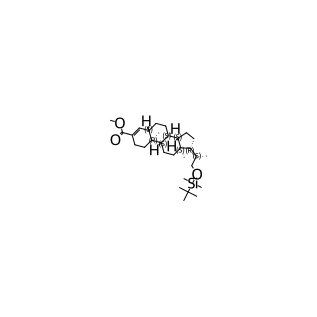 COC(=O)C1=C[C@@H]2CC[C@@H]3[C@H](CC[C@]4(C)[C@@H]([C@H](C)CO[Si](C)(C)C(C)(C)C)CC[C@@H]34)[C@@]2(C)CC1